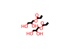 C=CC(=O)OCC(O)CO.C=CC(=O)OCC(O)CO